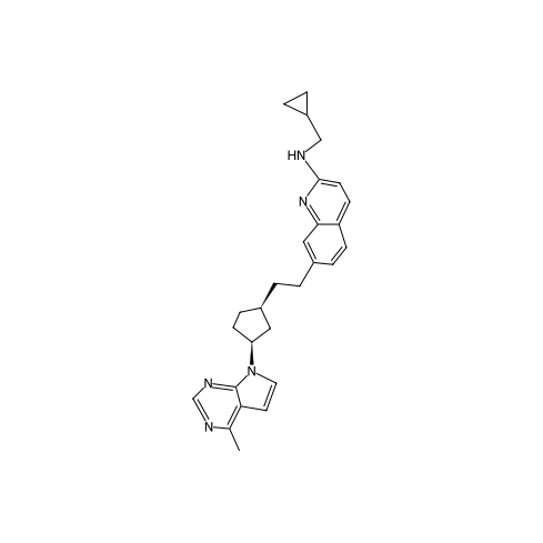 Cc1ncnc2c1ccn2[C@H]1CC[C@@H](CCc2ccc3ccc(NCC4CC4)nc3c2)C1